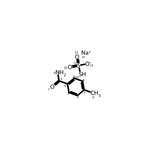 Cc1ccc(C(N)=O)cc1.O=S(=O)([O-])S.[Na+]